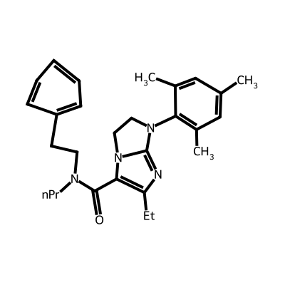 CCCN(CCc1ccccc1)C(=O)c1c(CC)nc2n1CCN2c1c(C)cc(C)cc1C